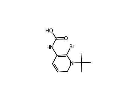 CC(C)(C)N1CC=CC(NC(=O)O)=C1Br